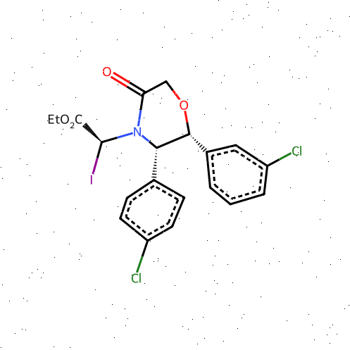 CCOC(=O)[C@H](I)N1C(=O)CO[C@H](c2cccc(Cl)c2)[C@@H]1c1ccc(Cl)cc1